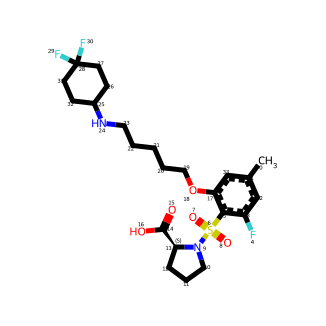 Cc1cc(F)c(S(=O)(=O)N2CCC[C@H]2C(=O)O)c(OCCCCCNC2CCC(F)(F)CC2)c1